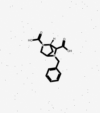 O=C(O)C1[C@@H]2CC(CN2C(=O)O)N1Cc1ccccc1